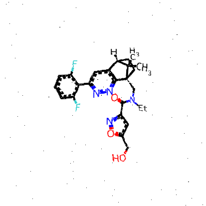 CCN(C[C@@]12CC[C@@H](c3cc(-c4c(F)cccc4F)nnc31)C2(C)C)C(=O)c1cc(CO)on1